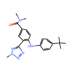 CN(C)C(=O)c1ccc(Nc2ccc(C(C)(C)C)cc2)c(-c2nnn(C)n2)c1